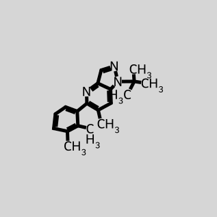 Cc1cc2c(cnn2C(C)(C)C)nc1-c1cccc(C)c1C